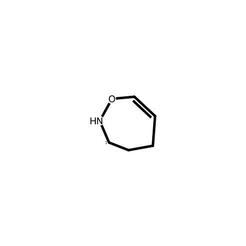 [C]1CCC=CON1